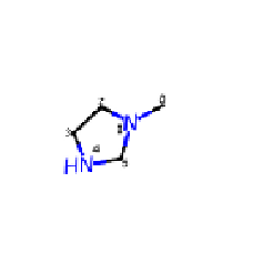 CN1CCNC1